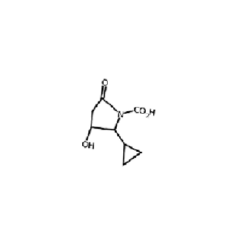 O=C(O)N1C(=O)CC(O)C1C1CC1